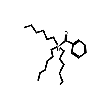 CCCCCC[PH](CCCCCC)(CCCCCC)C(=O)c1ccccc1